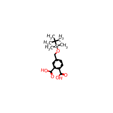 CC(C)(C)[Si](C)(C)OCc1ccc(C(=O)O)c(C(=O)O)c1